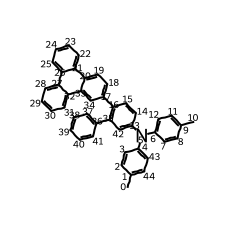 Cc1ccc(N(c2ccc(C)cc2)c2ccc(-c3ccc4c5ccccc5c5ccccc5c4c3)c(-c3ccccc3)c2)cc1